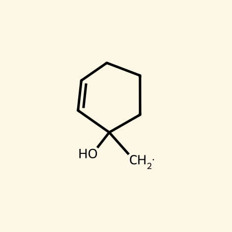 [CH2]C1(O)C=CCCC1